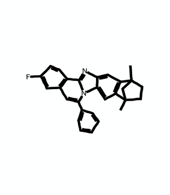 CC12CCC(C)(C1)c1cc3c(cc12)nc1c2ccc(F)cc2cc(-c2ccccc2)n31